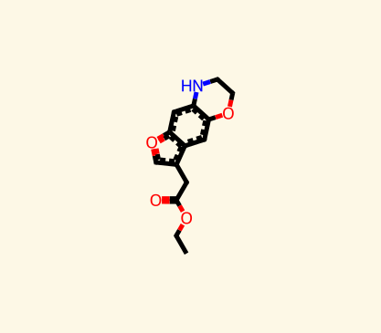 CCOC(=O)Cc1coc2cc3c(cc12)OCCN3